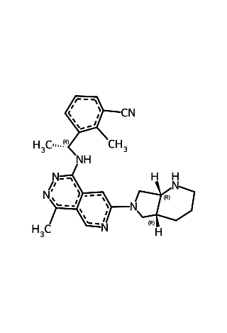 Cc1c(C#N)cccc1[C@@H](C)Nc1nnc(C)c2cnc(N3C[C@H]4CCCN[C@H]4C3)cc12